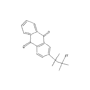 CCC(C)(C)C(C)(C)c1ccc2c(c1)C(=O)c1ccccc1C2=O